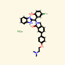 CN(C)CCOc1ccc(-c2ccc3c(c2)C(=O)N(C(c2nc4ccccc4[nH]2)c2cc(F)ccc2O)C3)cc1.Cl